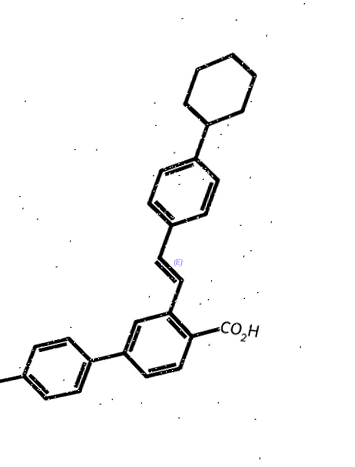 O=C(O)c1ccc(-c2ccc(F)cc2)cc1/C=C/c1ccc(C2CCCCC2)cc1